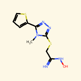 Cn1c(SCC(=N)NO)nnc1-c1cccs1